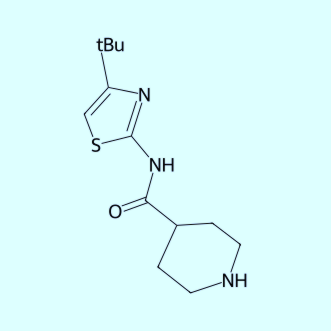 CC(C)(C)c1csc(NC(=O)C2CCNCC2)n1